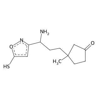 CC1(CCC(N)c2cc(S)on2)CCC(=O)C1